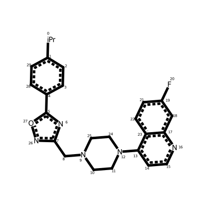 CC(C)c1ccc(-c2nc(CN3CCN(c4ccnc5cc(F)ccc45)CC3)no2)cc1